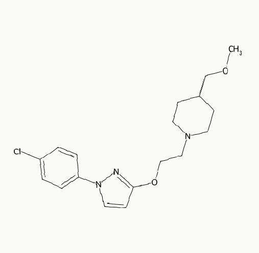 COCC1CCN(CCOc2ccn(-c3ccc(Cl)cc3)n2)CC1